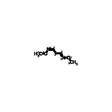 CO/N=C\C/C=N/OC